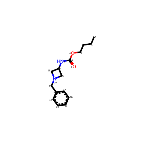 CCCCOC(=O)NC1CN(Cc2ccccc2)C1